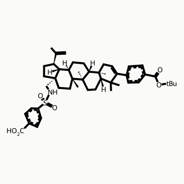 C=C(C)[C@@H]1CC[C@]2(CNS(=O)(=O)c3ccc(C(=O)O)cc3)CC[C@]3(C)[C@H](CC[C@@H]4[C@@]5(C)CC=C(c6ccc(C(=O)OC(C)(C)C)cc6)C(C)(C)[C@@H]5CC[C@]43C)[C@@H]12